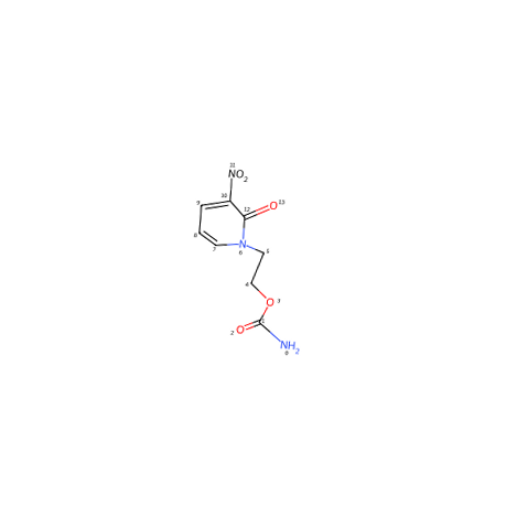 NC(=O)OCCn1cccc([N+](=O)[O-])c1=O